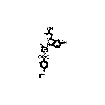 [2H]c1ccc2c(c1)c(CC(=O)O)nn2[C@H]1CN(S(=O)(=O)c2ccc(OCC)cc2)C[C@H]1C